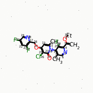 C=C(OCC)c1ncc(C)c(-n2c(C)cc(OCc3ncc(F)cc3F)c(Cl)c2=O)c1F